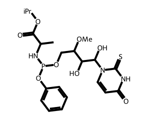 COC(COP(NC(C)C(=O)OC(C)C)Oc1ccccc1)C(O)C(O)n1ccc(=O)[nH]c1=S